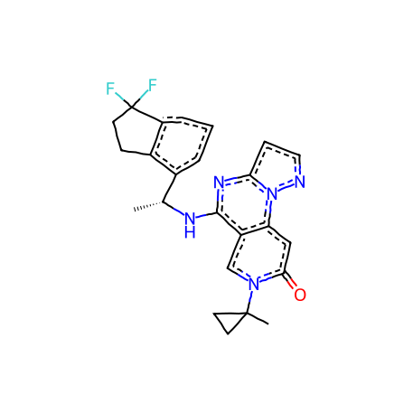 C[C@@H](Nc1nc2ccnn2c2cc(=O)n(C3(C)CC3)cc12)c1cccc2c1CCC2(F)F